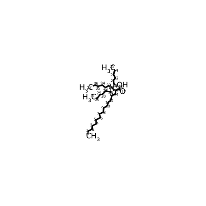 CCCCCCCCCCCCCCCC(C(=O)O)[N+](CCCCCC)(CCCCCC)CCCCCC